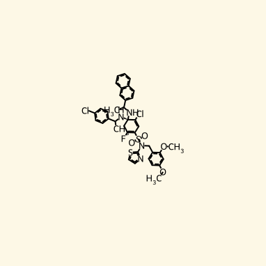 COc1ccc(CN(c2nccs2)S(=O)(=O)C2=C(F)C[C@](NC(C)c3ccc(Cl)cc3)(NC(C)c3ccc4ccccc4c3)C(Cl)=C2)c(OC)c1